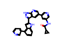 O=C(Nc1cncc(-c2cnc3[nH]nc(-c4cc5c(-c6cccnc6)cccc5[nH]4)c3c2)c1)C1CC1